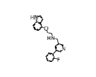 Fc1ccccc1-c1cncc(CNCCOc2cccc3[nH]ccc23)c1